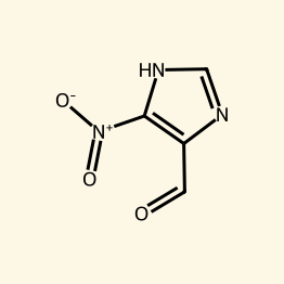 O=Cc1nc[nH]c1[N+](=O)[O-]